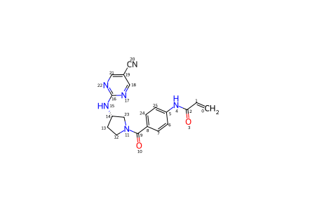 C=CC(=O)Nc1ccc(C(=O)N2CC[C@H](Nc3ncc(C#N)cn3)C2)cc1